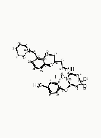 Cc1ccc(OC2=NS(=O)(=O)N=C(NCCC3COc4c(CN5CCCCC5)cccc4O3)N2C)cc1